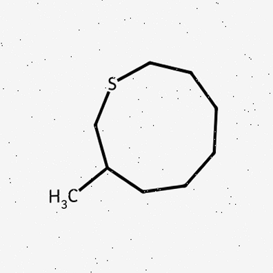 CC1CCCCCCSC1